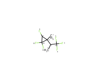 CC(C(F)(F)F)C1(C)C(F)C1(F)F